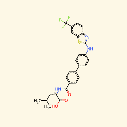 CC(C)C[C@H](NC(=O)c1ccc(-c2ccc(Nc3nc4ccc(C(F)(F)F)cc4s3)cc2)cc1)C(=O)O